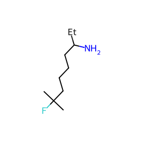 CCC(N)CCCCC(C)(C)F